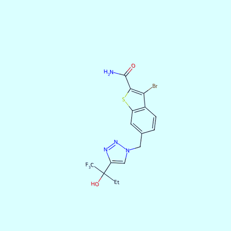 CCC(O)(c1cn(Cc2ccc3c(Br)c(C(N)=O)sc3c2)nn1)C(F)(F)F